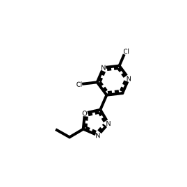 CCc1nnc(-c2cnc(Cl)nc2Cl)o1